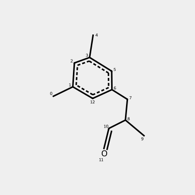 Cc1cc(C)cc(CC(C)C=O)c1